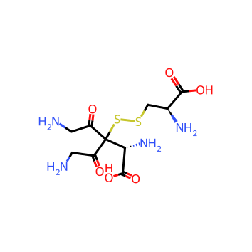 NCC(=O)C(SSC[C@H](N)C(=O)O)(C(=O)CN)[C@H](N)C(=O)O